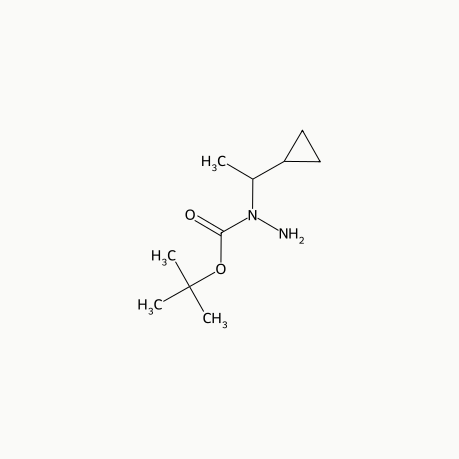 CC(C1CC1)N(N)C(=O)OC(C)(C)C